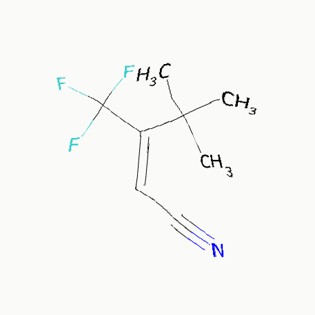 CC(C)(C)/C(=C\C#N)C(F)(F)F